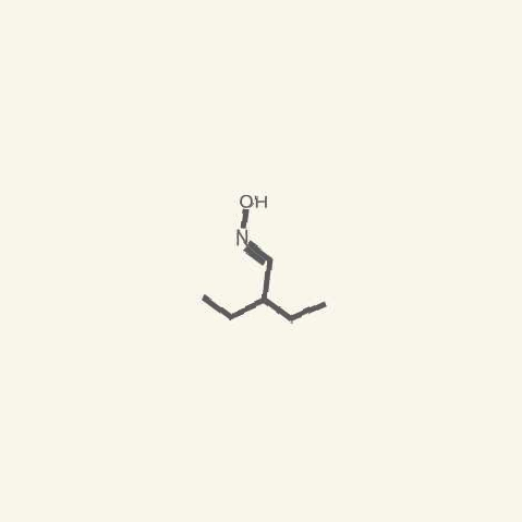 C[CH]C(C=NO)CC